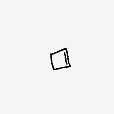 [C]1=CCC1